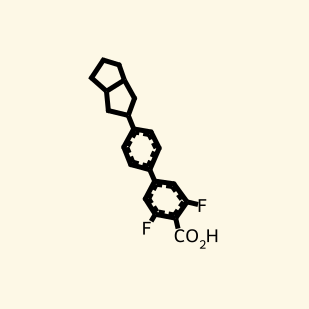 O=C(O)c1c(F)cc(-c2ccc(C3CC4CCCC4C3)cc2)cc1F